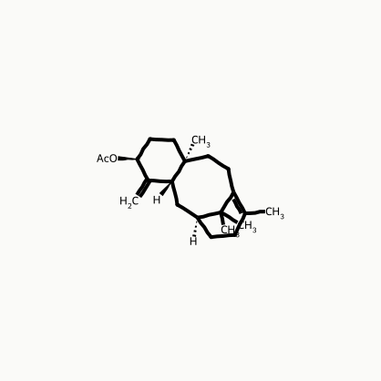 C=C1[C@@H](OC(C)=O)CC[C@@]2(C)CCC3=C(C)CC[C@@H](C[C@H]12)C3(C)C